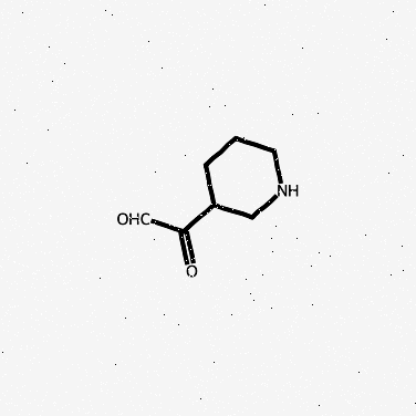 O=CC(=O)C1CCCNC1